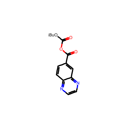 CC(C)COC(=O)OC(=O)c1ccc2nccnc2c1